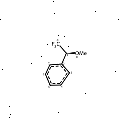 CO[C@@H](c1ccccc1)C(F)(F)F